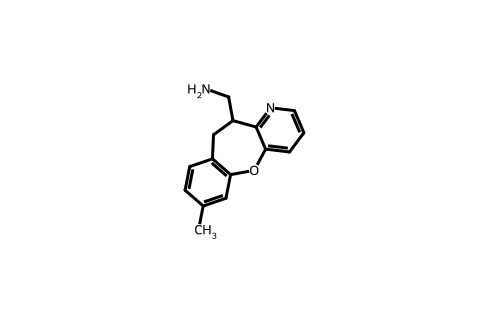 Cc1ccc2c(c1)Oc1cccnc1C(CN)C2